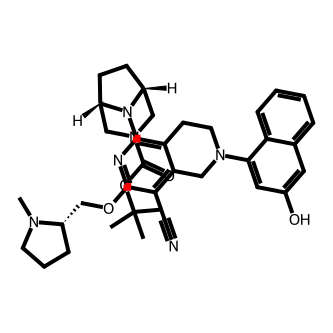 CN1CCC[C@H]1COc1nc(N2[C@@H]3CC[C@H]2CN(C(=O)OC(C)(C)C)C3)c2c(c1C#N)CN(c1cc(O)cc3ccccc13)CC2